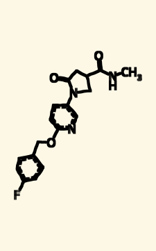 CNC(=O)C1CC(=O)N(c2ccc(OCc3ccc(F)cc3)nc2)C1